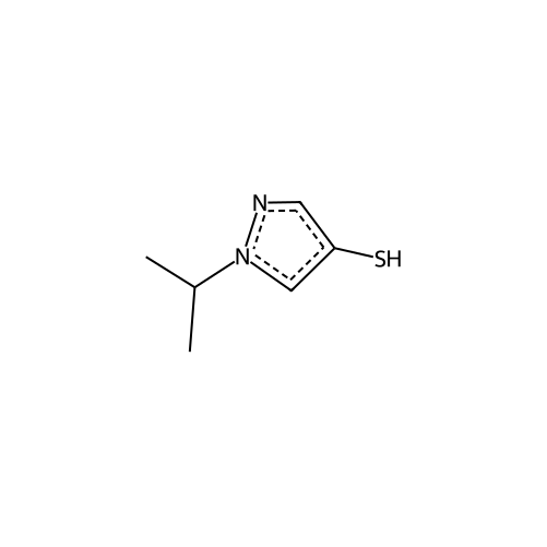 CC(C)n1cc(S)cn1